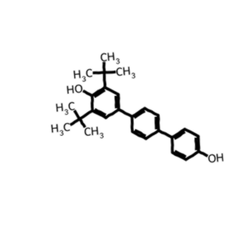 CC(C)(C)c1cc(-c2ccc(-c3ccc(O)cc3)cc2)cc(C(C)(C)C)c1O